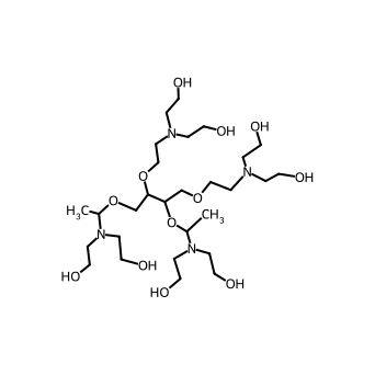 CC(OCC(OCCN(CCO)CCO)C(COCCN(CCO)CCO)OC(C)N(CCO)CCO)N(CCO)CCO